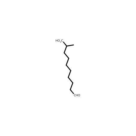 CC(CCCCCCCC=O)C(=O)O